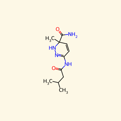 CC(C)CC(=O)NC1=NNC(C)(C(N)=O)C=C1